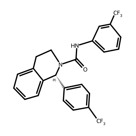 O=C(Nc1cccc(C(F)(F)F)c1)N1CCc2ccccc2[C@H]1c1ccc(C(F)(F)F)cc1